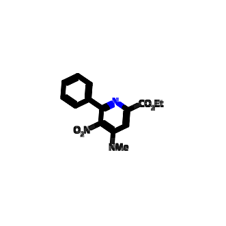 CCOC(=O)c1cc(NC)c([N+](=O)[O-])c(-c2ccccc2)n1